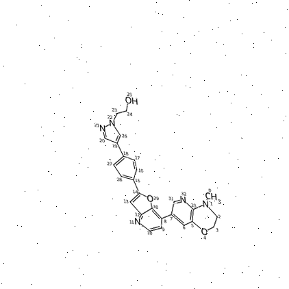 CN1CCOc2cc(-c3ccnc4cc(-c5ccc(-c6cnn(CCO)c6)cc5)oc34)cnc21